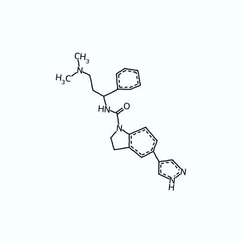 CN(C)CCC(NC(=O)N1CCc2cc(-c3cn[nH]c3)ccc21)c1ccccc1